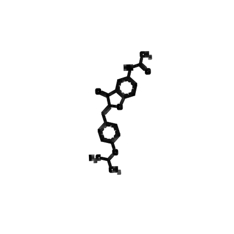 CC(=O)Nc1ccc2c(c1)C(=O)/C(=C/c1ccc(OC(C)C)cc1)O2